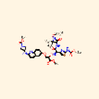 CC(C)(C)OC(=O)Nc1nc(/C(=N/OC(COc2ccc3nc(NC4CN(C(=O)OC(C)(C)C)C4)ccc3c2)C(=O)OC(C)(C)C)C(=O)NC2C(=O)N(OS(=O)(=O)O)C2(C)C)cs1